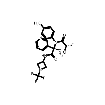 Cc1ccc(N(C(=O)[C@H](F)Cl)[C@](C)(C(=O)NC2CN(C(F)(F)F)C2)c2cccnc2)cc1